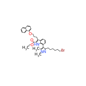 CCOC(=O)c1[nH]c2c(-c3c(CCCCCCBr)nn(C)c3C)cccc2c1CCCOc1cccc2ccccc12